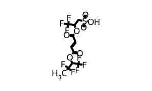 CC(F)(F)C(OC(=O)/C=C/C(=O)OC(CS(=O)(=O)O)C(F)(F)F)C(F)(F)F